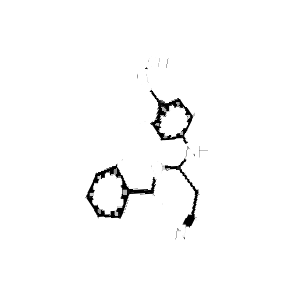 COc1ccc(NC(CC#N)OCc2ccccc2)cc1